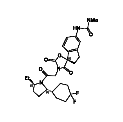 CC[C@@H]1CC[C@@H](C2CCC(F)(F)CC2)N1C(=O)CN1C(=O)O[C@@]2(CCc3cc(NC(=O)NC)ccc32)C1=O